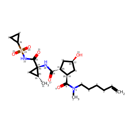 C=CCCCCN(C)C(=O)[C@@H]1C[C@H](O)C[C@H]1C(=O)N[C@]1(C(=O)NS(=O)(=O)C2CC2)C[C@H]1C